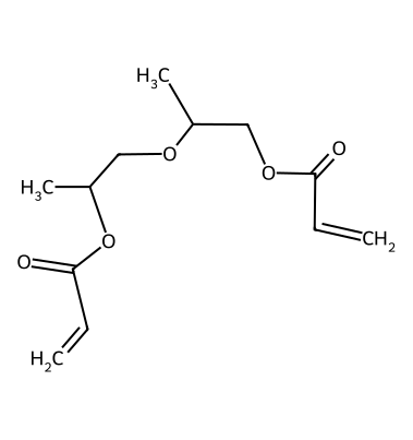 C=CC(=O)OCC(C)OCC(C)OC(=O)C=C